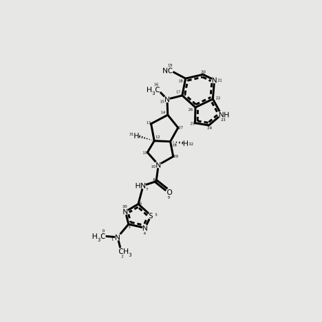 CN(C)c1nsc(NC(=O)N2C[C@H]3CC(N(C)c4c(C#N)cnc5[nH]ccc45)C[C@H]3C2)n1